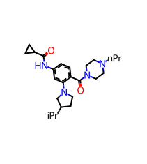 CCCN1CCN(C(=O)c2ccc(NC(=O)C3CC3)cc2N2CCC(C(C)C)C2)CC1